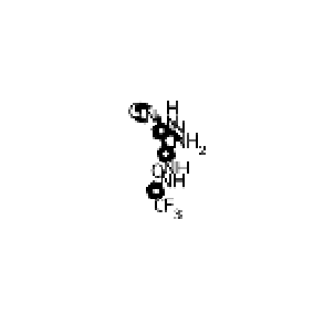 Nc1n[nH]c2c(CN3CCOCC3)ccc(-c3ccc(NC(=O)Nc4cccc(C(F)(F)F)c4)cc3)c12